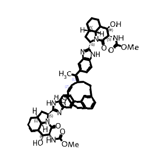 COC(=O)N[C@@H]1C(=O)N2[C@H](c3nc4cc(/C(C)=C5/C=C\[C@H](C)CCc6ccc(cc6-c6ccc7[nH]c([C@@H]8C[C@@H]9CCCC%10[C@@H](O)[C@H](NC(=O)OC)C(=O)N8[C@@H]%109)nc7c6)CC5)ccc4[nH]3)C[C@@H]3CCCC([C@H]1O)[C@@H]32